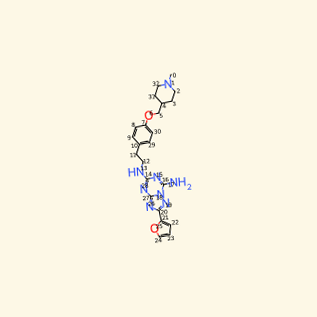 CN1CCC(COc2ccc(CCNc3nc(N)n4nc(-c5ccco5)nc4n3)cc2)CC1